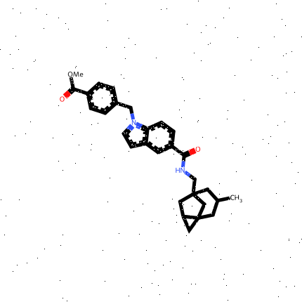 COC(=O)c1ccc(Cn2ccc3cc(C(=O)NCC45CC(C)CC6(CC6C4)C5)ccc32)cc1